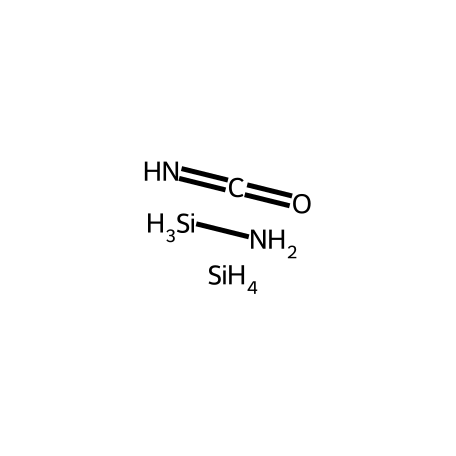 N=C=O.N[SiH3].[SiH4]